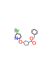 O=C(OCc1ccccc1)C1CCC(Oc2ccc(Br)cn2)C1